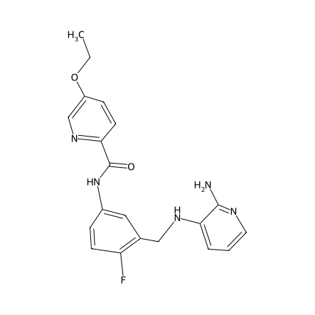 CCOc1ccc(C(=O)Nc2ccc(F)c(CNc3cccnc3N)c2)nc1